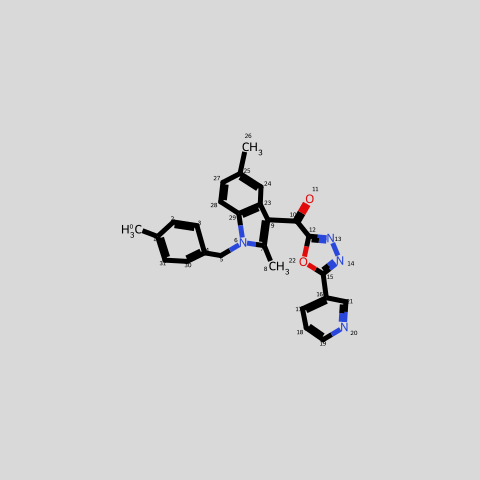 Cc1ccc(Cn2c(C)c(C(=O)c3nnc(-c4cccnc4)o3)c3cc(C)ccc32)cc1